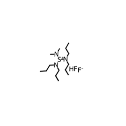 CCCN(CCC)[S+](N(C)C)N(CCC)CCC.F.[F-]